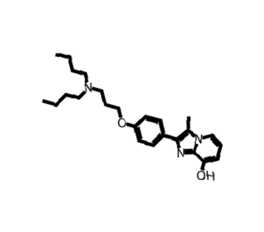 CCCCN(CCCC)CCCOc1ccc(-c2nc3c(O)cccn3c2C)cc1